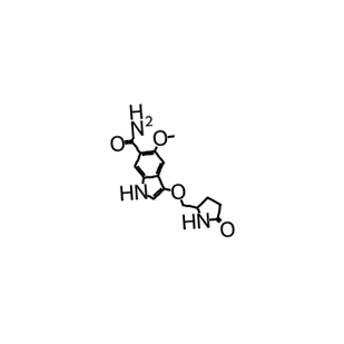 COc1cc2c(OCC3CCC(=O)N3)c[nH]c2cc1C(N)=O